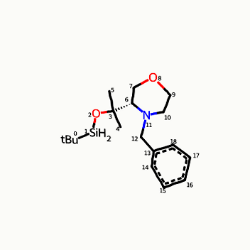 CC(C)(C)[SiH2]OC(C)(C)[C@@H]1COCCN1Cc1ccccc1